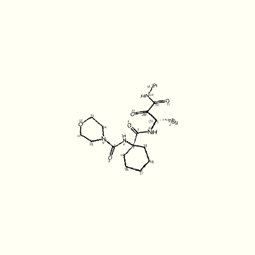 CCCC[C@H](NC(=O)C1(NC(=O)N2CCOCC2)CCCCC1)C(=O)C(=O)NC(C)C